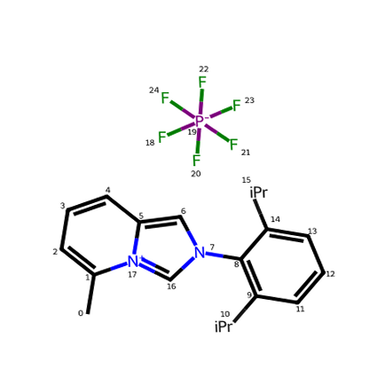 Cc1cccc2cn(-c3c(C(C)C)cccc3C(C)C)c[n+]12.F[P-](F)(F)(F)(F)F